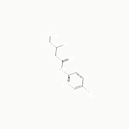 CCC(F)CC(=O)Nc1ccc(Br)cn1